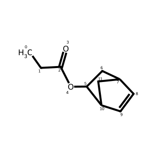 CCC(=O)OC1CC2C=CC1C2